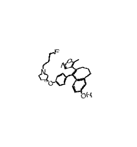 Cc1oncc1C1=C(c2ccc(O[C@H]3CCN(CCCF)C3)cc2)c2ccc(O)cc2CCC1